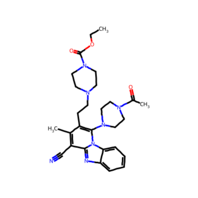 CCOC(=O)N1CCN(CCc2c(C)c(C#N)c3nc4ccccc4n3c2N2CCN(C(C)=O)CC2)CC1